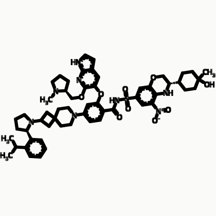 CC(C)c1ccccc1[C@H]1CCCN1C1CC2(CCN(c3ccc(C(=O)NS(=O)(=O)c4cc5c(c([N+](=O)[O-])c4)N[C@@H](C4CCC(C)(O)CC4)CO5)c(Oc4cc5cc[nH]c5nc4OC[C@@H]4CCCN4C)c3)CC2)C1